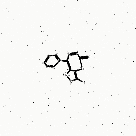 CCC1=C2NC(=O)C=NC(c3ccccc3)=C2NO1